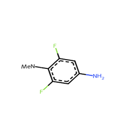 CNc1c(F)cc(N)cc1F